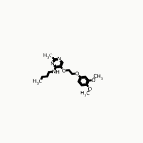 CCCCNc1nc(C)ncc1OCCOc1ccc(OC)c(OC)c1